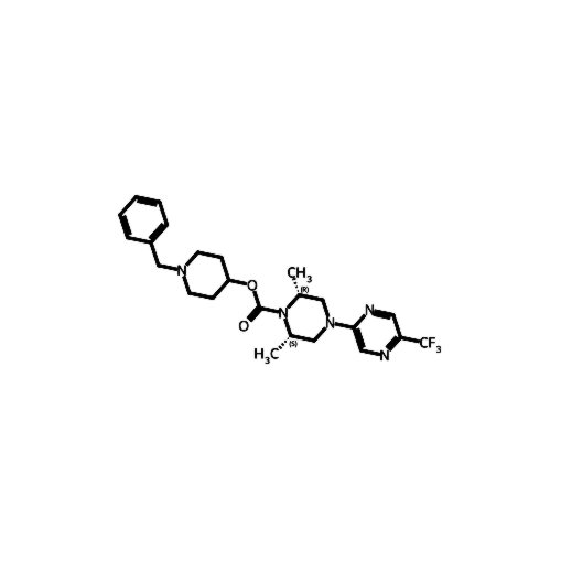 C[C@@H]1CN(c2cnc(C(F)(F)F)cn2)C[C@H](C)N1C(=O)OC1CCN(Cc2ccccc2)CC1